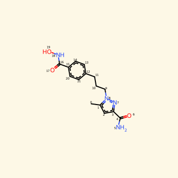 Cc1cc(C(N)=O)nn1CCCc1ccc(C(=O)NO)cc1